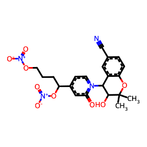 CC1(C)Oc2ccc(C#N)cc2C(n2ccc(C(CCCO[N+](=O)[O-])O[N+](=O)[O-])cc2=O)C1O